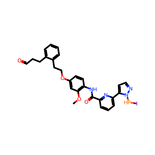 COc1cc(OCCc2ccccc2CCC=O)ccc1NC(=O)c1cccc(-c2ccnn2PI)n1